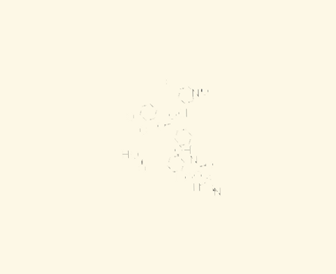 COc1ccc(C(Cc2c(Cl)c[n+]([O-])cc2Cl)OC(=O)c2ccc(CN(C(=O)O[C@H]3CN4CCC3CC4)c3c(O)cccc3O)cc2)cc1OC.O=CO